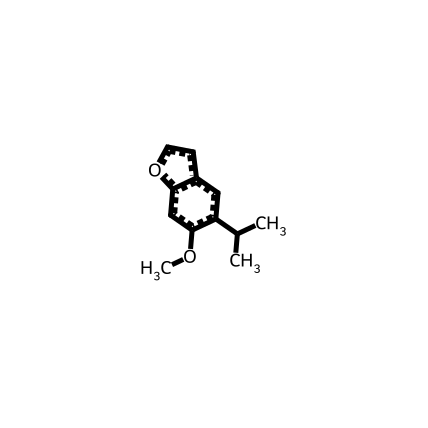 COc1cc2occc2cc1C(C)C